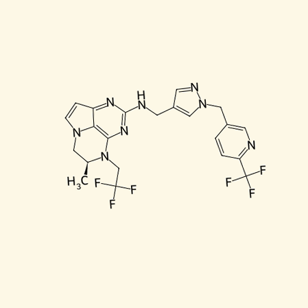 C[C@H]1Cn2ccc3nc(NCc4cnn(Cc5ccc(C(F)(F)F)nc5)c4)nc(c32)N1CC(F)(F)F